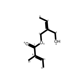 CC=C(CO)COC(=O)C(C)=CC